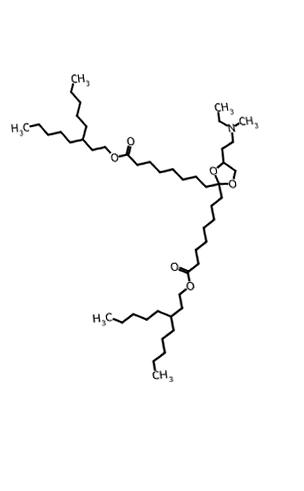 CCCCCC(CCCCC)CCOC(=O)CCCCCCCC1(CCCCCCCC(=O)OCCC(CCCCC)CCCCC)OCC(CCN(C)CC)O1